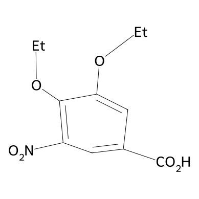 CCOc1cc(C(=O)O)cc([N+](=O)[O-])c1OCC